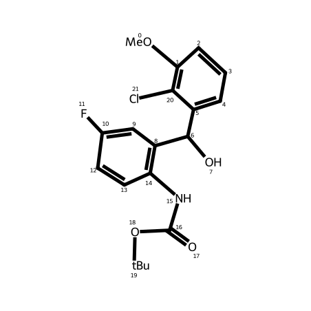 COc1cccc(C(O)c2cc(F)ccc2NC(=O)OC(C)(C)C)c1Cl